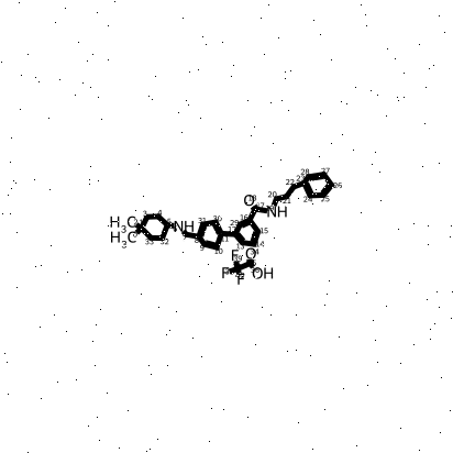 CC1(C)CCC(NCc2ccc(-c3cccc(C(=O)NCCCc4ccccc4)c3)cc2)CC1.O=C(O)C(F)(F)F